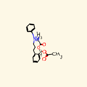 CC(=O)O[SiH](OC(C)=O)c1ccccc1CCCNc1ccccc1